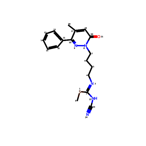 CSC(=NCCCCn1nc(-c2ccccc2)c(C)cc1=O)NC#N